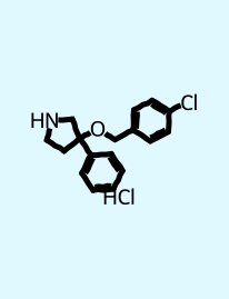 Cl.Clc1ccc(COC2(c3ccccc3)CCNC2)cc1